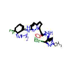 Cn1cc(NC(=O)c2ccc3ccc(N[C@@H]4CCCC(F)(F)C4N)nn23)c(Br)n1